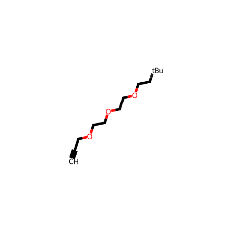 C#CCOCCOCCOCCC(C)(C)C